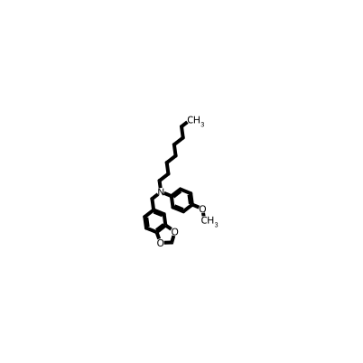 CCCCCCCCN(Cc1ccc2c(c1)OCO2)c1ccc(OC)cc1